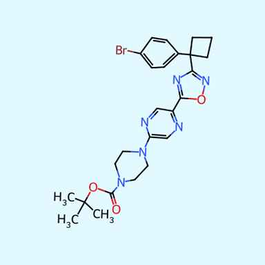 CC(C)(C)OC(=O)N1CCN(c2cnc(-c3nc(C4(c5ccc(Br)cc5)CCC4)no3)cn2)CC1